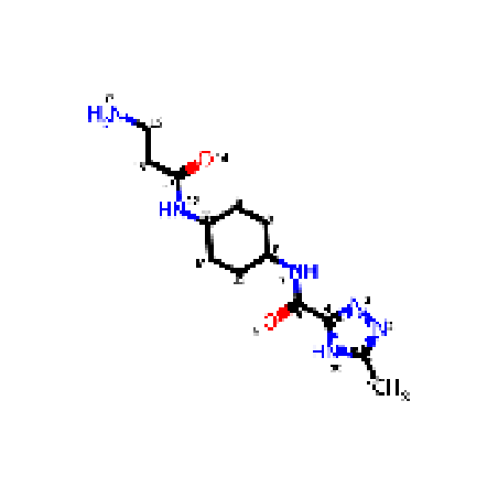 Cc1nnc(C(=O)NC2CCC(NC(=O)CCN)CC2)[nH]1